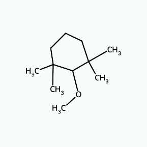 COC1C(C)(C)CCCC1(C)C